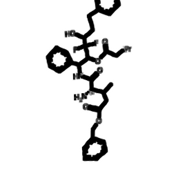 CC(C)CC(=O)OC(C(NC(=O)[C@@H](N)C(C)CC(=O)OCc1ccccc1)c1ccccc1)C(F)(F)C(O)CCc1ccccc1